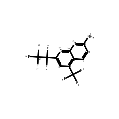 Nc1ccc2c(C(F)(F)F)cc(C(F)(F)C(F)(F)F)nc2n1